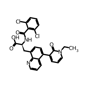 CCn1cccc(-c2ccc(C[C@H](NC(=O)c3c(Cl)cccc3Cl)C(=O)O)c3ncccc23)c1=O